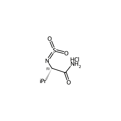 CC(C)[C@H](N=S(=O)=O)C(N)=O.Cl